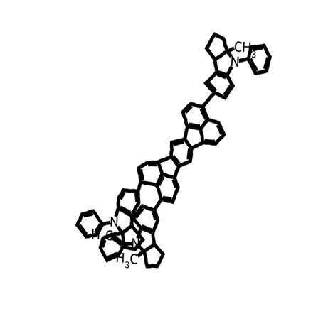 CC12CCCC1c1cc(-c3ccc4c5cc6c(cc5c5cccc3c54)c3ccc(-c4ccc5c(c4)C4CCCC4(C)N5c4ccccc4)c4c(-c5ccc7c(c5)C5CCCC5(C)N7c5ccccc5)ccc6c43)ccc1N2c1ccccc1